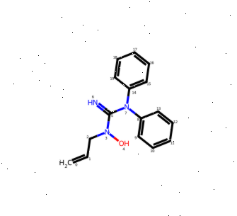 C=CCN(O)C(=N)N(c1ccccc1)c1ccccc1